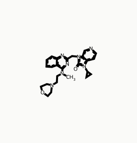 CN(CCN1CCOCC1)c1nc(Cn2c(=O)n(C3CC3)c3ccncc32)nc2ccccc12